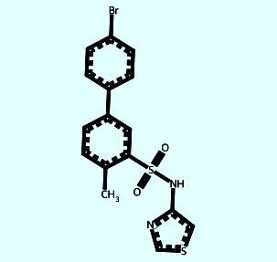 Cc1ccc(-c2ccc(Br)cc2)cc1S(=O)(=O)Nc1cscn1